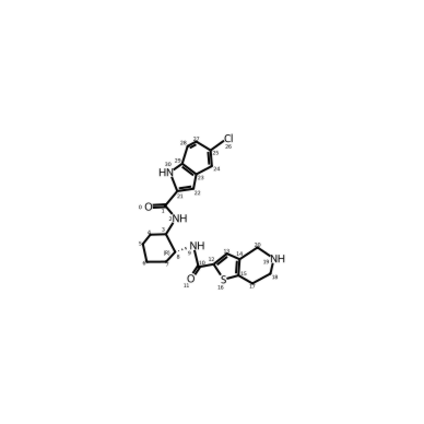 O=C(NC1CCCC[C@H]1NC(=O)c1cc2c(s1)CCNC2)c1cc2cc(Cl)ccc2[nH]1